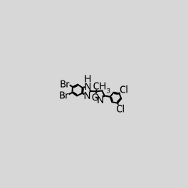 CC1(c2nc3cc(Br)c(Br)cc3[nH]2)CC(c2cc(Cl)cc(Cl)c2)=NO1